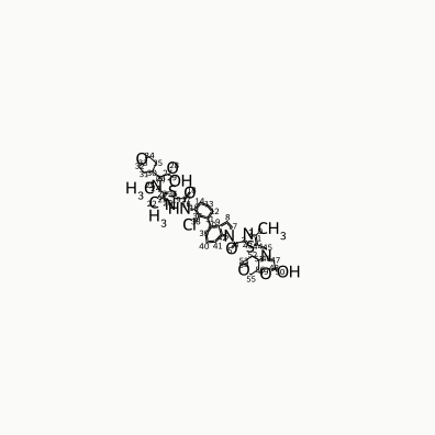 Cc1nc(C(=O)n2ccc3c(-c4cccc(NC(=O)c5nc(C)c(N(C)[C@H](C(=O)O)C6CCOCC6)s5)c4Cl)cccc32)sc1CN(CC(=O)O)C1CCOCC1